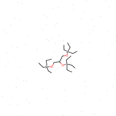 CC[Si](CC)(CC)OCC(CO[Si](CC)(CC)CC)O[Si](CC)(CC)CC